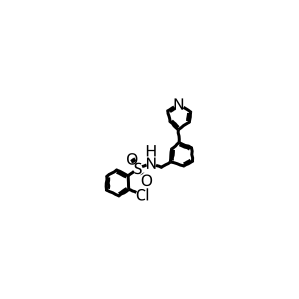 O=S(=O)(NCc1cccc(-c2ccncc2)c1)c1ccccc1Cl